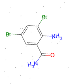 NC(=O)c1cc(Br)cc(Br)c1N